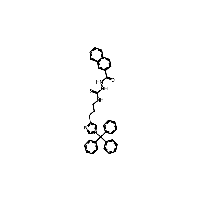 O=C(NNC(=S)NCCCc1cn(C(c2ccccc2)(c2ccccc2)c2ccccc2)cn1)c1ccc2ccccc2c1